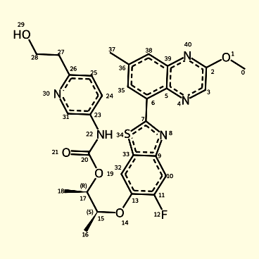 COc1cnc2c(-c3nc4cc(F)c(O[C@@H](C)[C@@H](C)OC(=O)Nc5ccc(CCO)nc5)cc4s3)cc(C)cc2n1